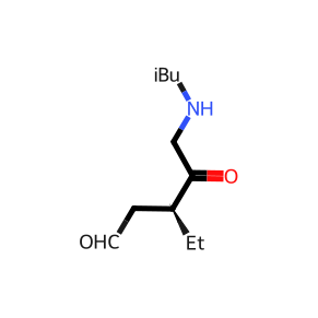 CCC(C)NCC(=O)[C@@H](CC)CC=O